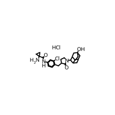 Cl.NC1(C(=O)Nc2ccc(CC3CCN(C4C5CC6CC4CC(O)(C6)C5)C3=O)c(Cl)c2)CC1